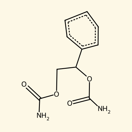 NC(=O)OCC(OC(N)=O)c1ccccc1